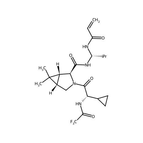 C=CC(=O)N[C@@H](NC(=O)[C@@H]1[C@@H]2[C@H](CN1C(=O)[C@@H](NC(=O)C(F)(F)F)C1CC1)C2(C)C)C(C)C